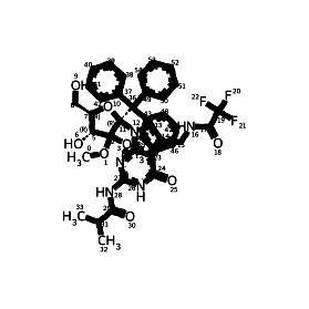 COC1(OC)[C@H](O)[C@@H](CO)O[C@]1(n1cc(CNC(=O)C(F)(F)F)c2c(=O)[nH]c(NC(=O)C(C)C)nc21)C(c1ccccc1)(c1ccccc1)c1ccccc1